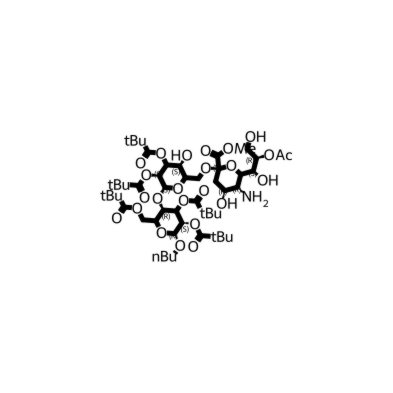 CCCCO[C@@H]1OC(COC(=O)C(C)(C)C)[C@@H](O[C@@H]2OC(CO[C@]3(C(=O)OC)C[C@@H](O)[C@@H](N)C([C@H](O)[C@@H](CO)OC(C)=O)O3)[C@H](O)C(OC(=O)C(C)(C)C)[C@@H]2OC(=O)C(C)(C)C)C(OC(=O)C(C)(C)C)[C@@H]1OC(=O)C(C)(C)C